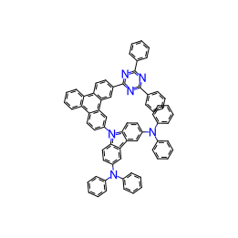 c1ccc(-c2nc(-c3ccccc3)nc(-c3ccc4c5ccccc5c5ccc(-n6c7ccc(N(c8ccccc8)c8ccccc8)cc7c7cc(N(c8ccccc8)c8ccccc8)ccc76)cc5c4c3)n2)cc1